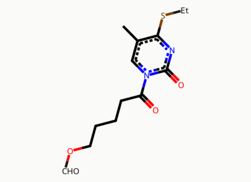 CCSc1nc(=O)n(C(=O)CCCCOC=O)cc1C